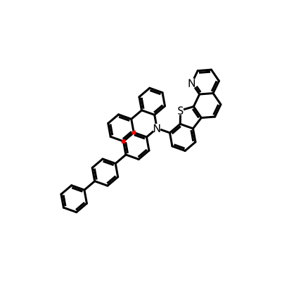 c1ccc(-c2ccc(-c3ccc(N(c4ccccc4-c4ccccc4)c4cccc5c4sc4c5ccc5cccnc54)cc3)cc2)cc1